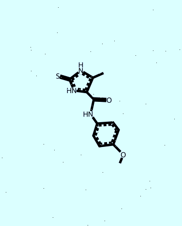 COc1ccc(NC(=O)c2[nH]c(=S)[nH]c2C)cc1